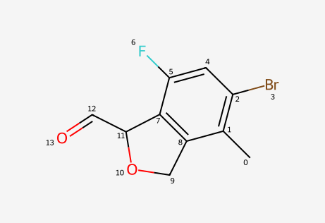 Cc1c(Br)cc(F)c2c1COC2C=O